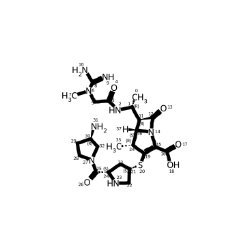 C[C@@H](NC(=O)CN(C)C(=N)N)[C@H]1C(=O)N2C(C(=O)O)=C(S[C@@H]3CN[C@H](C(=O)N4CC[C@@H](N)C4)C3)[C@H](C)[C@H]12